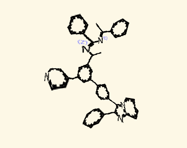 C/C(=N\C(=N/C(C)c1cc(-c2ccncc2)cc(-c2ccc(-c3c(-c4ccccc4)nc4ccccn34)cc2)c1)c1ccccc1)c1ccccc1